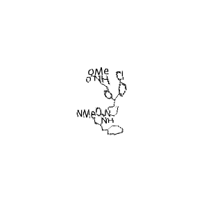 CNC[C@H](CC1CCCCCC1)NC(=O)N1CCC[C@@H]([C@@H](OCCNC(=O)OC)c2cccc(Cl)c2)C1